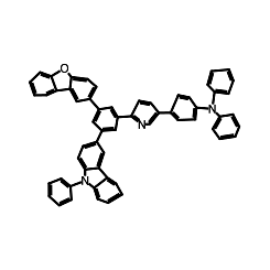 c1ccc(N(c2ccccc2)c2ccc(-c3ccc(-c4cc(-c5ccc6oc7ccccc7c6c5)cc(-c5ccc6c(c5)c5ccccc5n6-c5ccccc5)c4)nc3)cc2)cc1